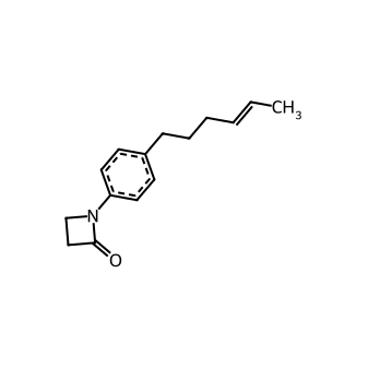 C/C=C/CCCc1ccc(N2CCC2=O)cc1